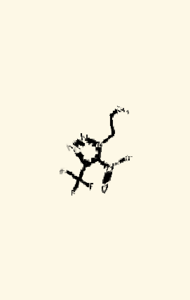 CCCn1nnc(C(F)(F)F)c1[N+](=O)[O-]